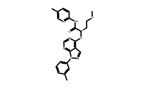 COCC[C@@H](Oc1ncnc2c1cnn2-c1cccc(C)c1)C(=O)Nc1ccc(C)cn1